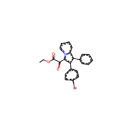 CCOC(=O)C(=O)c1c(-c2ccc(Br)cc2)c(-c2ccccc2)c2ccccn12